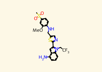 COc1cc(S(C)(=O)=O)ccc1NCc1cnc(-c2cc3c(N)cccc3n2CC(F)(F)F)s1